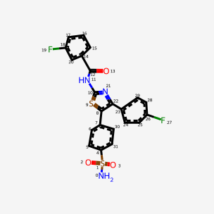 NS(=O)(=O)c1ccc(-c2sc(NC(=O)c3cccc(F)c3)nc2-c2ccc(F)cc2)cc1